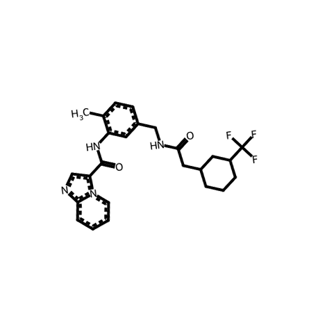 Cc1ccc(CNC(=O)CC2CCCC(C(F)(F)F)C2)cc1NC(=O)c1cnc2ccccn12